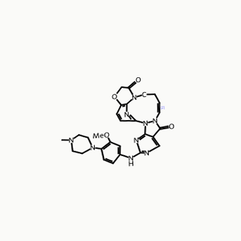 COc1cc(Nc2ncc3c(=O)n4n(c3n2)-c2ccc3c(n2)N(CC/C=C\4)C(=O)CO3)ccc1N1CCN(C)CC1